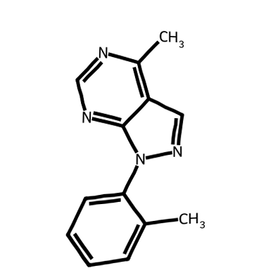 Cc1ccccc1-n1ncc2c(C)ncnc21